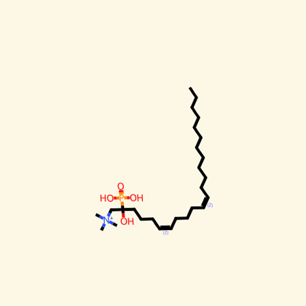 CCCCCCCCCCC/C=C\CCC/C=C\CCCC(O)(C[N+](C)(C)C)P(=O)(O)O